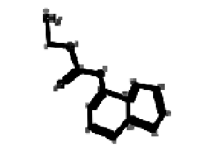 [CH2]COC(=O)Oc1cccc2ccccc12